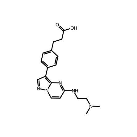 CN(C)CCNc1ccn2ncc(-c3ccc(CCC(=O)O)cc3)c2n1